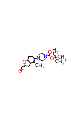 Cc1c(N2CCN(C(=O)OC(C)(C)C)CC2)ccc2c1CC(=C=O)O2